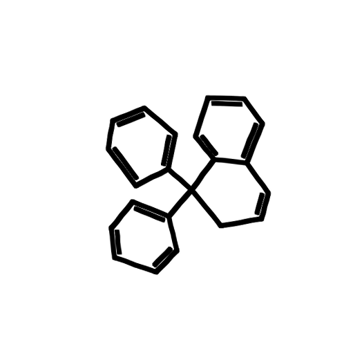 C1=Cc2ccccc2C(c2ccccc2)(c2ccccc2)C1